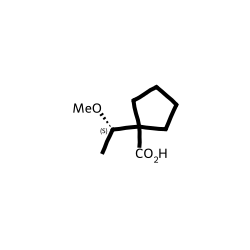 CO[C@@H](C)C1(C(=O)O)CCCC1